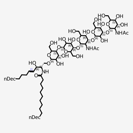 CCCCCCCCCCCCC/C=C/[C@@H](O)[C@H](CO[C@@H]1OC(CO)[C@@H](O[C@@H]2OC(CO)[C@H](O[C@@H]3OC(CO)[C@H](O)[C@H](O[C@@H]4OC(CO)[C@H](O)[C@H](O[C@@H]5OC(CO)[C@@H](O)[C@H](O)C5NC(C)=O)C4O)C3NC(C)=O)[C@H](O)C2O)[C@H](O)C1O)NC(=O)CCCCCCCCCCCCCCCCCCC